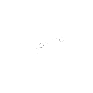 O=C(Nc1ccc(N(CCCl)CCCl)cc1)OCCSSc1ccccn1